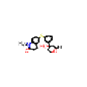 CCC1CC(O)(c2cccc(Sc3ccc4c(c3)CCC(=O)N4C)c2)CCO1